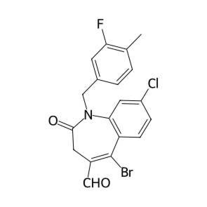 Cc1ccc(CN2C(=O)CC(C=O)=C(Br)c3ccc(Cl)cc32)cc1F